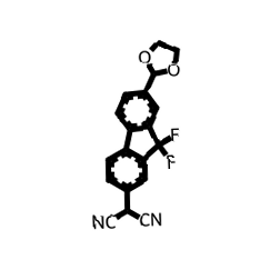 N#CC(C#N)c1ccc2c(c1)C(F)(F)c1cc(C3OCCO3)ccc1-2